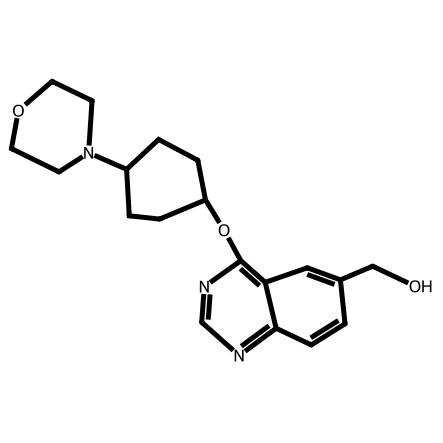 OCc1ccc2ncnc(OC3CCC(N4CCOCC4)CC3)c2c1